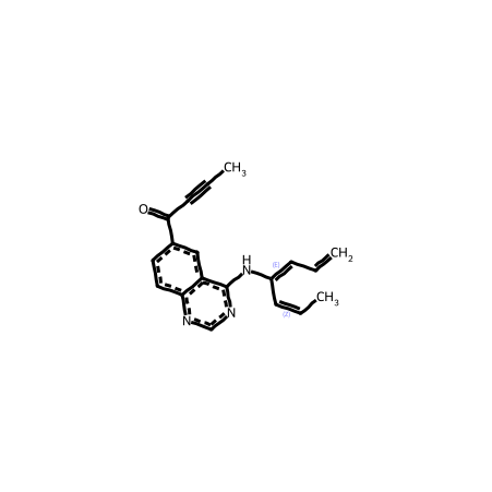 C=C/C=C(\C=C/C)Nc1ncnc2ccc(C(=O)C#CC)cc12